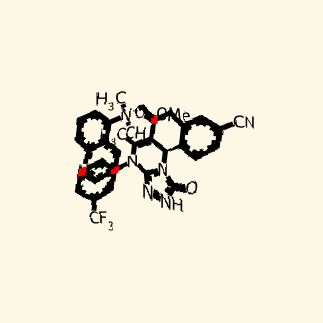 COC(=O)C1=C(C)N(c2cccc(C(F)(F)F)c2)c2n[nH]c(=O)n2[C@@H]1c1ccc(C#N)cc1CCC[N+](C)(C)c1cccc2ncccc12